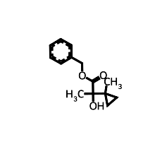 CC1(C(C)(O)C(=O)OCc2ccccc2)CC1